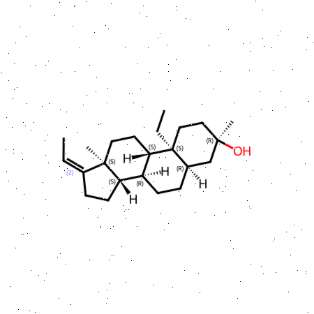 C/C=C1/CC[C@H]2[C@@H]3CC[C@@H]4C[C@](C)(O)CC[C@]4(CC)[C@H]3CC[C@]12C